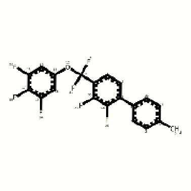 Cc1ccc(-c2ccc(C(F)(F)Oc3cc(F)c(F)c(F)c3)c(F)c2F)cc1